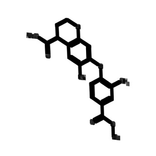 COC(=O)C1CCOc2cc(Oc3ccc(C(=O)OC(C)(C)C)cc3C)c(C#N)cc21